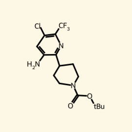 CC(C)(C)OC(=O)N1CCC(c2nc(C(F)(F)F)c(Cl)cc2N)CC1